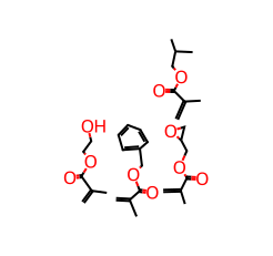 C=C(C)C(=O)OCC(C)C.C=C(C)C(=O)OCC1CO1.C=C(C)C(=O)OCCO.C=C(C)C(=O)OCc1ccccc1